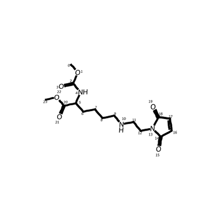 COC(=O)NC(CCCCNCCN1C(=O)C=CC1=O)C(=O)OC